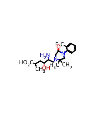 C[C@H](C[C@H](O)[C@@H](N)CN1CC(=O)N(c2ccccc2C(F)(F)F)CC1(C)C)C(=O)O